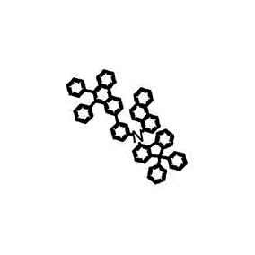 c1ccc(-c2c(-c3ccccc3)c3cc(-c4cccc(N(c5cccc6c5-c5ccccc5C6(c5ccccc5)c5ccccc5)c5cccc6c5ccc5ccccc56)c4)ccc3c3ccccc23)cc1